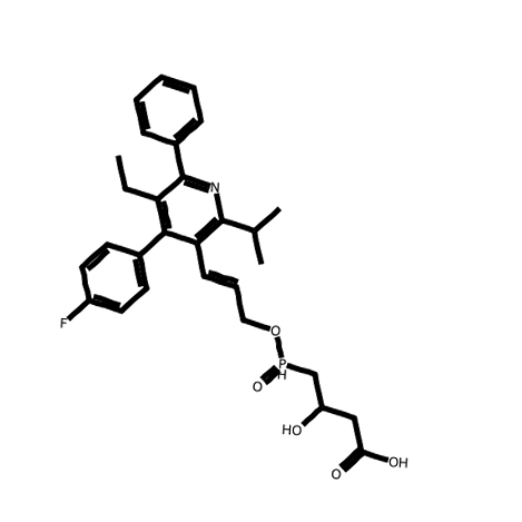 CCc1c(-c2ccccc2)nc(C(C)C)c(C=CCO[PH](=O)CC(O)CC(=O)O)c1-c1ccc(F)cc1